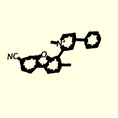 Cc1ccc2c(oc3cc(C#N)ccc32)c1-c1cc(-c2ccccc2)cc[n+]1C